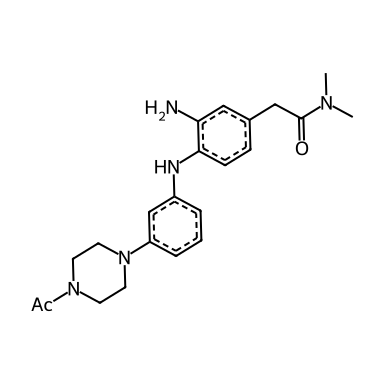 CC(=O)N1CCN(c2cccc(Nc3ccc(CC(=O)N(C)C)cc3N)c2)CC1